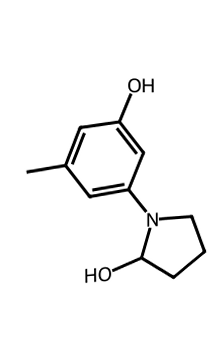 Cc1cc(O)cc(N2CCCC2O)c1